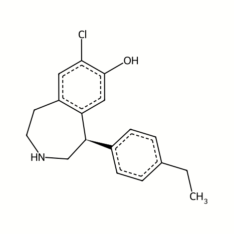 CCc1ccc([C@H]2CNCCc3cc(Cl)c(O)cc32)cc1